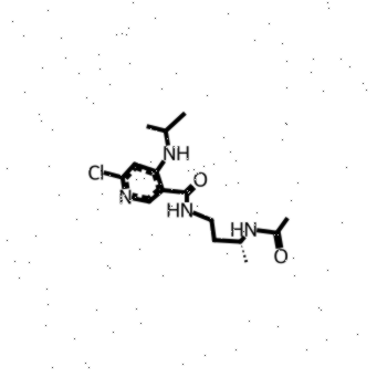 CC(=O)N[C@H](C)CCNC(=O)c1cnc(Cl)cc1NC(C)C